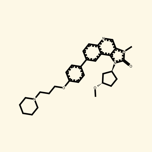 CO[C@H]1CC[C@H](n2c(=O)n(C)c3cnc4ccc(-c5ccc(OCCCN6CCCCC6)cc5)cc4c32)C1